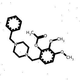 COc1ccc(CN2CCN(Cc3ccccc3)CC2)c(OC(C)=O)c1OC